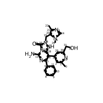 Cc1cc(-c2c(-c3ccccc3)nc(N)[n+]3c(=O)n(Cc4c(C)ncn4C)[nH]c23)cc(CO)n1